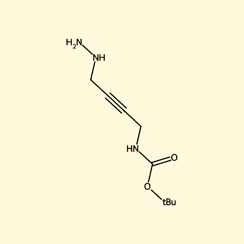 CC(C)(C)OC(=O)NCC#CCNN